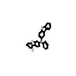 Clc1cccc2oc3cc(N(c4ccccc4)c4ccc5sc6ccccc6c5c4)ccc3c12